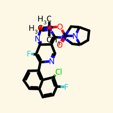 CC(C)(C)OC(=O)N1C2CCC1CN(c1ncnc3c(F)c(-c4cccc5ccc(F)c(Cl)c45)ncc13)C2